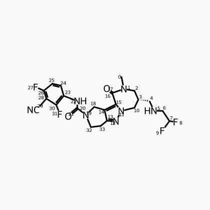 CN1C[C@H](CNCC(F)F)Cn2nc3c(c2C1=O)CN(C(=O)Nc1ccc(F)c(C#N)c1F)CC3